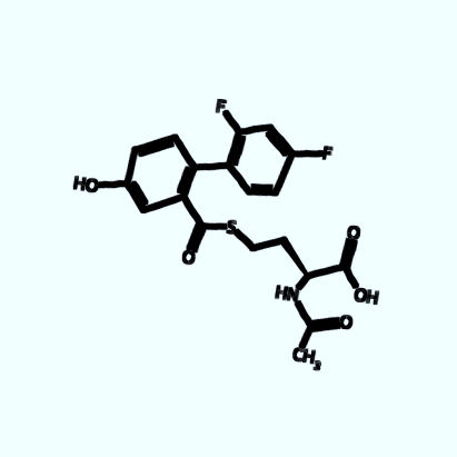 CC(=O)N[C@@H](CCSC(=O)c1cc(O)ccc1-c1ccc(F)cc1F)C(=O)O